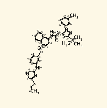 CCCc1cncc(Nc2cc(COc3ccc(NC(=O)Nc4cc(C(C)(C)C)nn4-c4cccc(C)c4)c4ccccc34)ccn2)n1